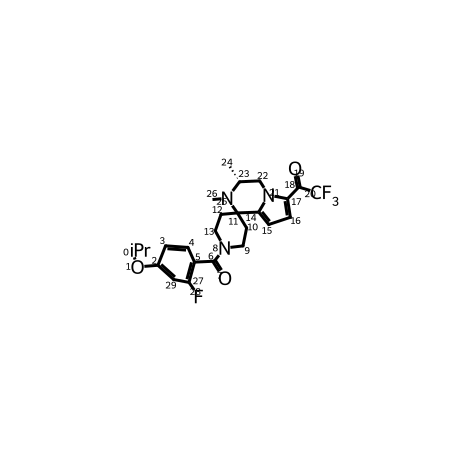 CC(C)Oc1ccc(C(=O)N2CCC3(CC2)c2ccc(C(=O)C(F)(F)F)n2C[C@@H](C)N3C)c(F)c1